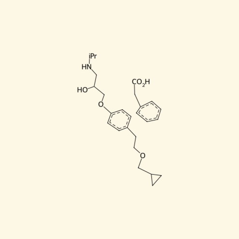 CC(C)NCC(O)COc1ccc(CCOCC2CC2)cc1.O=C(O)Cc1ccccc1